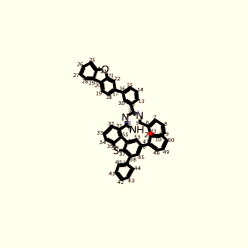 N/C(=N\C(=N/CC1=CC=CCC1)c1cccc(-c2ccc3c(c2)oc2ccccc23)c1)c1cccc2sc3c(-c4ccccc4)cc(-c4ccccc4)cc3c12